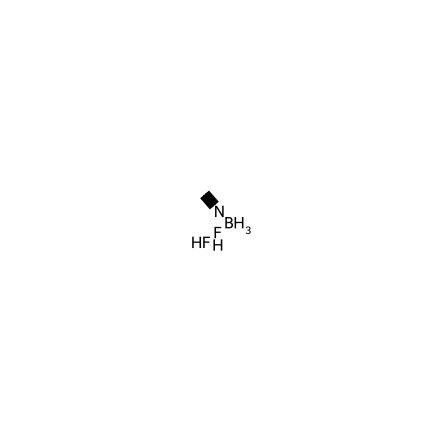 B.C#N.F.F